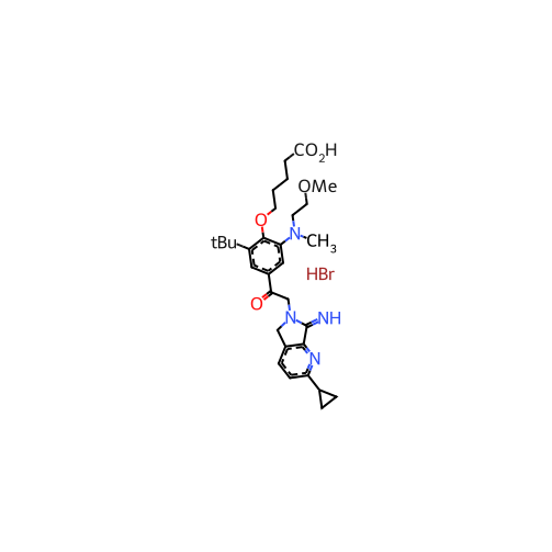 Br.COCCN(C)c1cc(C(=O)CN2Cc3ccc(C4CC4)nc3C2=N)cc(C(C)(C)C)c1OCCCCC(=O)O